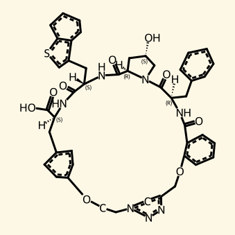 O=C1N[C@H](Cc2ccccc2)C(=O)N2C[C@@H](O)C[C@@H]2C(=O)N[C@@H](Cc2csc3ccccc23)C(=O)N[C@H](C(=O)O)Cc2ccc(cc2)OCCn2cc(nn2)COc2ccccc21